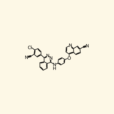 N#Cc1ccc2c(Oc3ccc(Nc4nnc(-c5ccc(Cl)c(C#N)c5)c5ccccc45)cc3)ccnc2c1